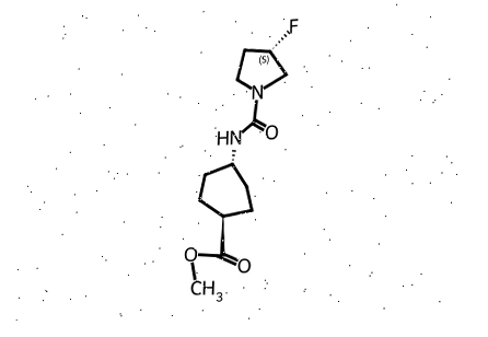 COC(=O)[C@H]1CC[C@H](NC(=O)N2CC[C@H](F)C2)CC1